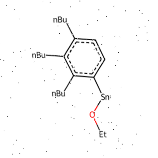 CCCCc1cc[c]([Sn][O]CC)c(CCCC)c1CCCC